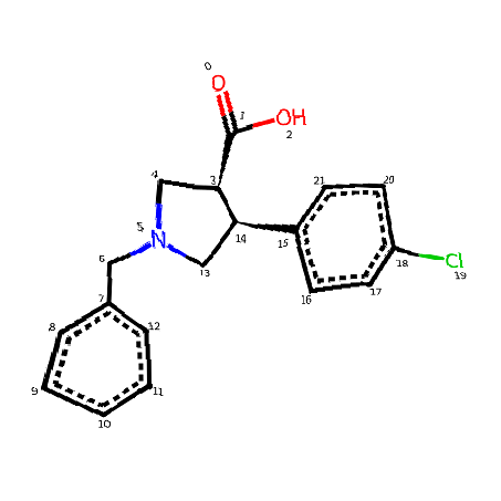 O=C(O)[C@@H]1CN(Cc2ccccc2)C[C@@H]1c1ccc(Cl)cc1